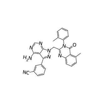 Cc1ccccc1-n1c(Cn2nc(-c3cccc(C#N)c3)c3c(N)ncnc32)nc2cccc(C)c2c1=O